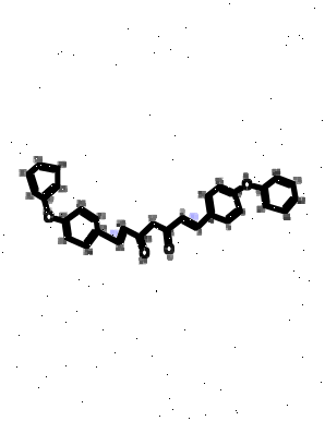 O=C(/C=C/c1ccc(Oc2ccccc2)cc1)CC(=O)/C=C/c1ccc(Oc2ccccc2)cc1